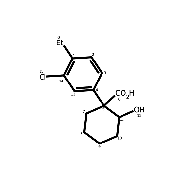 CCc1ccc(C2(C(=O)O)CCCCC2O)cc1Cl